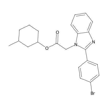 CC1CCCC(OC(=O)Cn2c(-c3ccc(Br)cc3)nc3ccccc32)C1